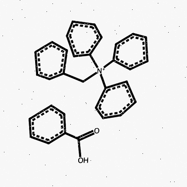 O=C(O)c1ccccc1.c1ccc(C[N+](c2ccccc2)(c2ccccc2)c2ccccc2)cc1